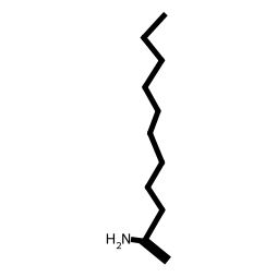 C=C(N)CCCCCCCCC